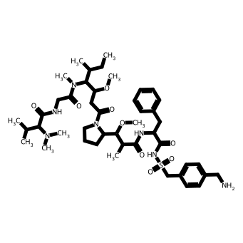 CCC(C)C(C(CC(=O)N1CCCC1C(OC)C(C)C(=O)NC(Cc1ccccc1)C(=O)NS(=O)(=O)Cc1ccc(CN)cc1)OC)N(C)C(=O)CNC(=O)C(C(C)C)N(C)C